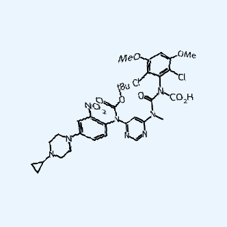 COc1cc(OC)c(Cl)c(N(C(=O)O)C(=O)N(C)c2cc(N(C(=O)OC(C)(C)C)c3ccc(N4CCN(C5CC5)CC4)cc3[N+](=O)[O-])ncn2)c1Cl